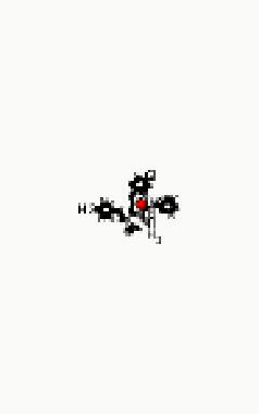 CN1CC(=O)N(CCc2ccc(O)cc2)C(CN(C=O)Cc2ccc(Cl)cc2Cl)N1C(=O)NCc1ccccc1